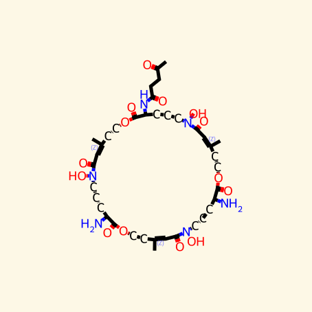 CC(=O)CCC(=O)NC1CCCN(O)C(=O)/C=C(/C)CCOC(=O)C(N)CCCN(O)C(=O)/C=C(/C)CCOC(=O)C(N)CCCN(O)C(=O)/C=C(/C)CCOC1=O